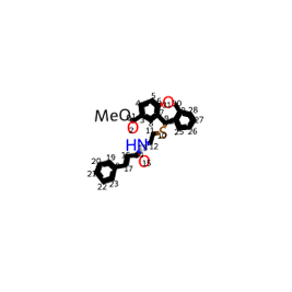 COC(=O)c1ccc2c(c1)C(SCCNC(=O)/C=C/c1ccccc1)c1ccccc1CO2